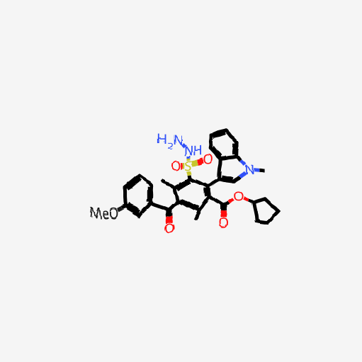 COc1cccc(C(=O)c2c(C)c(C(=O)OC3CCCC3)c(-c3cn(C)c4ccccc34)c(S(=O)(=O)NN)c2C)c1